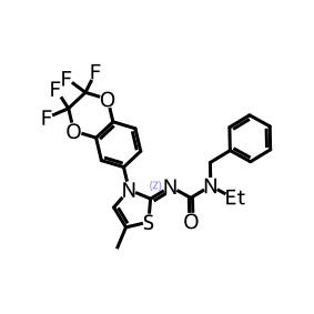 CCN(Cc1ccccc1)C(=O)/N=c1\sc(C)cn1-c1ccc2c(c1)OC(F)(F)C(F)(F)O2